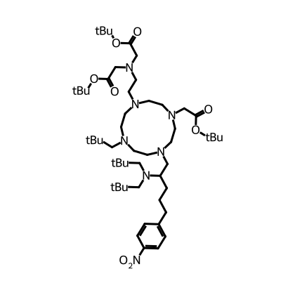 CC(C)(C)CN1CCN(CCN(CC(=O)OC(C)(C)C)CC(=O)OC(C)(C)C)CCN(CC(=O)OC(C)(C)C)CCN(CC(CCCc2ccc([N+](=O)[O-])cc2)N(CC(C)(C)C)CC(C)(C)C)CC1